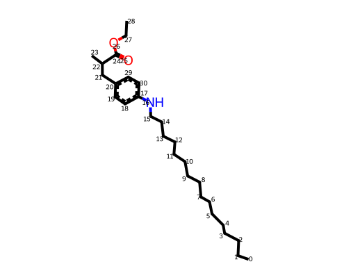 CCCCCCCCCCCCCCCCNc1ccc(CC(C)C(=O)OCC)cc1